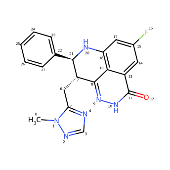 Cn1ncnc1C[C@H]1c2n[nH]c(=O)c3cc(F)cc(c23)N[C@@H]1c1ccccc1